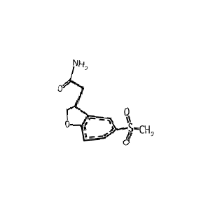 CS(=O)(=O)c1ccc2c(c1)C(CC(N)=O)CO2